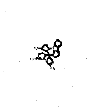 Bc1ccc2c(c1)C(c1ccc(C)cc1)(c1ccc(C)cc1)c1cccc3c4ccccc4n-2c13